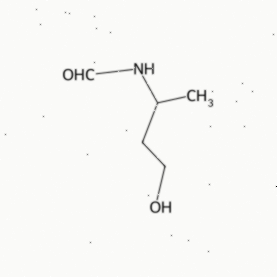 CC(CCO)NC=O